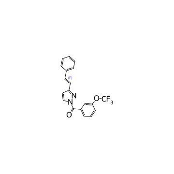 O=C(c1cccc(OC(F)(F)F)c1)n1ccc(/C=C/c2ccccc2)n1